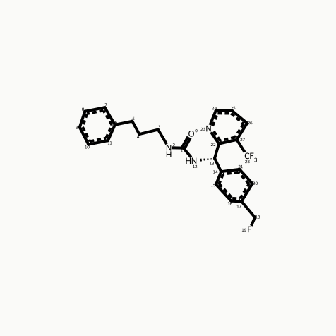 O=C(NCCCc1ccccc1)N[C@@H](c1ccc(CF)cc1)c1ncccc1C(F)(F)F